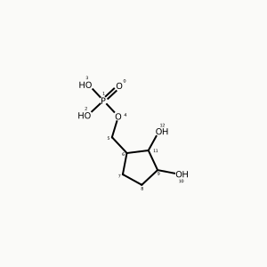 O=P(O)(O)OCC1CCC(O)C1O